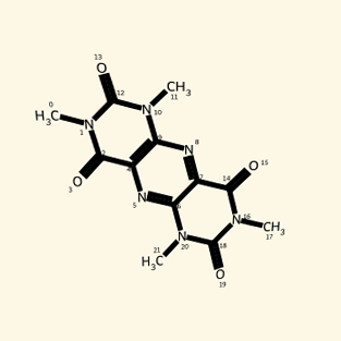 Cn1c(=O)c2nc3c(nc2n(C)c1=O)c(=O)n(C)c(=O)n3C